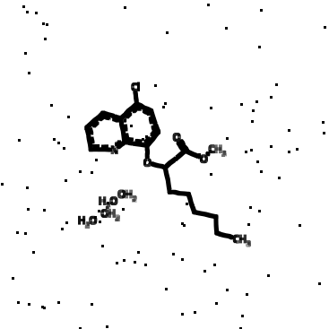 CCCCCCC(Oc1ccc(Cl)c2cccnc12)C(=O)OC.O.O.O.O